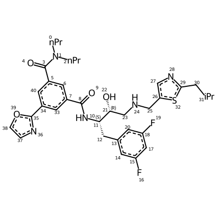 CCCN(CCC)C(=O)c1cc(C(=O)N[C@@H](Cc2cc(F)cc(F)c2)[C@H](O)CNCc2cnc(CC(C)C)s2)cc(-c2ncco2)c1